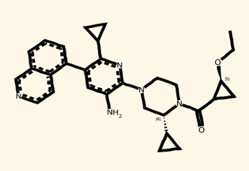 CCO[C@H]1CC1C(=O)N1CCN(c2nc(C3CC3)c(-c3cccc4cnccc34)cc2N)C[C@H]1C1CC1